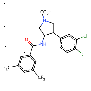 O=C(NC1CN(C(=O)O)CC1c1ccc(Cl)c(Cl)c1)c1cc(C(F)(F)F)cc(C(F)(F)F)c1